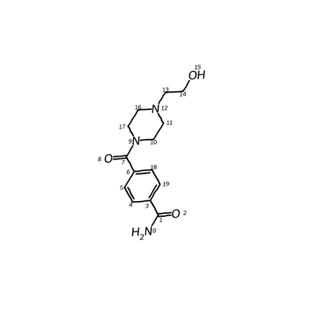 NC(=O)c1ccc(C(=O)N2CCN(CCO)CC2)cc1